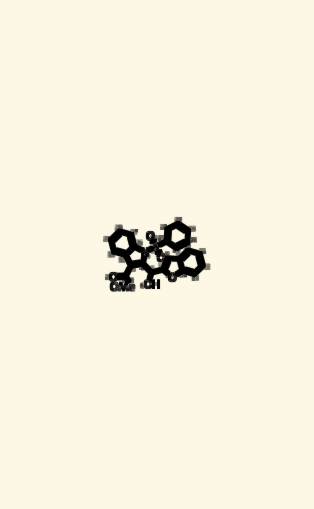 COC(=O)c1c(C(O)c2cc3ccccc3o2)n(S(=O)(=O)c2ccccc2)c2ccccc12